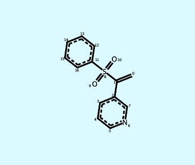 C=C(c1cccnc1)S(=O)(=O)c1ccccc1